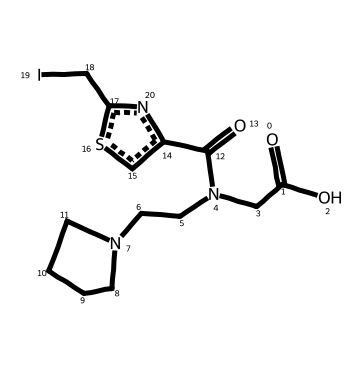 O=C(O)CN(CCN1CCCC1)C(=O)c1csc(CI)n1